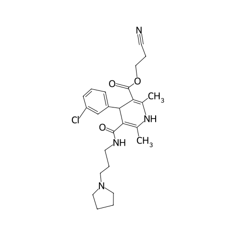 CC1=C(C(=O)NCCCN2CCCC2)C(c2cccc(Cl)c2)C(C(=O)OCCC#N)=C(C)N1